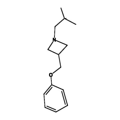 C[C](C)CN1CC(COc2ccccc2)C1